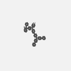 c1ccc(-c2ccc(N(c3ccc(-c4ccccc4)cc3)c3ccc(-c4ccc(N(c5ccncc5)c5ccc(-c6c(-c7ccccc7)nc7ccccn67)cc5)cc4)cc3)cc2)cc1